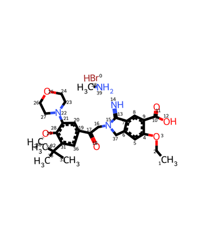 Br.CCOc1cc2c(cc1C(=O)O)C(=N)N(CC(=O)c1cc(N3CCOCC3)c(OC)c(C(C)(C)C)c1)C2.CN